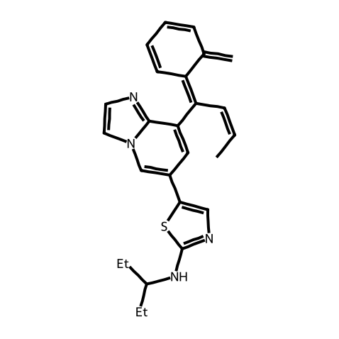 C=c1cccc/c1=C(/C=C\C)c1cc(-c2cnc(NC(CC)CC)s2)cn2ccnc12